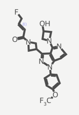 O=C(/C=C/CF)N1CC(c2nn(-c3ccc(OC(F)(F)F)cc3)c3ccnc(N4CC(O)C4)c23)C1